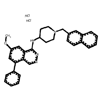 COc1cc(-c2ccccc2)c2cnnc(NC3CCN(Cc4ccc5ccccc5c4)CC3)c2c1.Cl.Cl